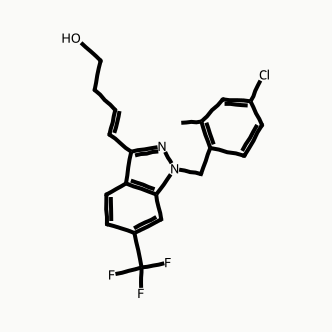 Cc1cc(Cl)ccc1Cn1nc(/C=C/CCO)c2ccc(C(F)(F)F)cc21